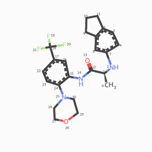 C[C@H](Nc1ccc2c(c1)CCC2)C(=O)Nc1cc(C(F)(F)F)ccc1N1CCOCC1